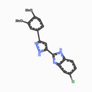 COc1ccc(-c2cc(-c3nc4cc(Cl)ccc4[nH]3)[nH]n2)cc1OC